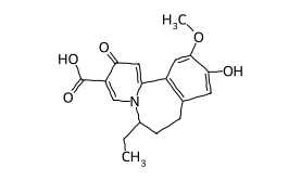 CCC1CCc2cc(O)c(OC)cc2-c2cc(=O)c(C(=O)O)cn21